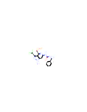 C[C@@H](NC(=O)Nc1cc2[nH]nc(C(F)F)c2c(CO)n1)c1ccccc1